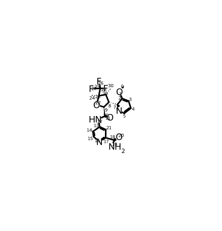 COc1cccnc1[C@@H]1[C@@H](C(=O)Nc2ccnc(C(N)=O)c2)O[C@@](C)(C(F)(F)F)[C@@H]1C